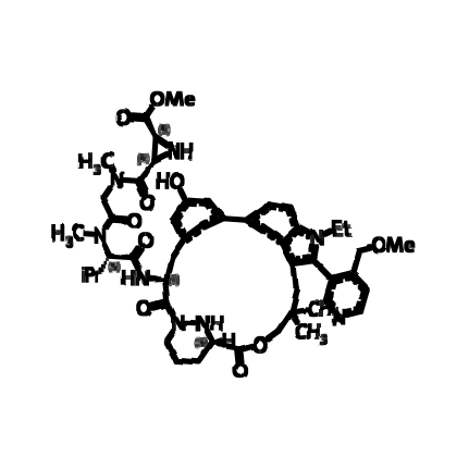 CCn1c(-c2cnccc2COC)c2c3cc(ccc31)-c1cc(O)cc(c1)C[C@H](NC(=O)[C@H](C(C)C)N(C)C(=O)CN(C)C(=O)[C@@H]1N[C@@H]1C(=O)OC)C(=O)N1CCC[C@H](N1)C(=O)OCC(C)(C)C2